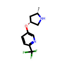 C[C@H]1C[C@@H](Oc2ccc(C(F)(F)F)nc2)CN1